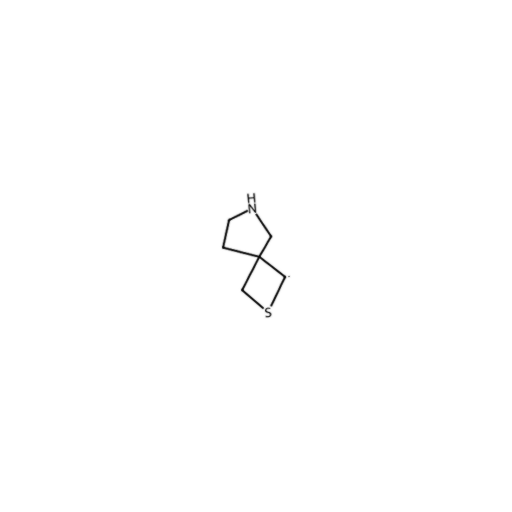 [CH]1SCC12CCNC2